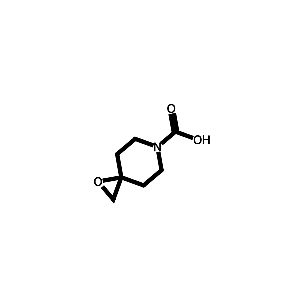 O=C(O)N1CCC2(CC1)CO2